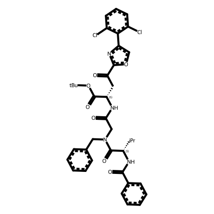 CC(C)[C@H](NC(=O)c1ccccc1)C(=O)N(CC(=O)N[C@@H](CC(=O)c1nc(-c2c(Cl)cccc2Cl)co1)C(=O)OC(C)(C)C)Cc1ccccc1